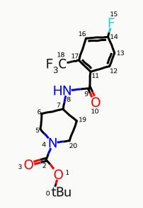 CC(C)(C)OC(=O)N1CCC(NC(=O)c2ccc(F)cc2C(F)(F)F)CC1